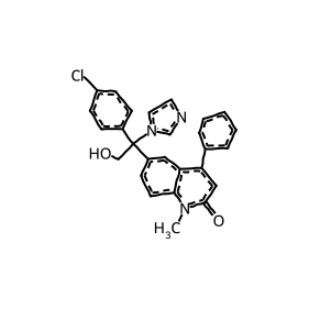 Cn1c(=O)cc(-c2ccccc2)c2cc(C(CO)(c3ccc(Cl)cc3)n3ccnc3)ccc21